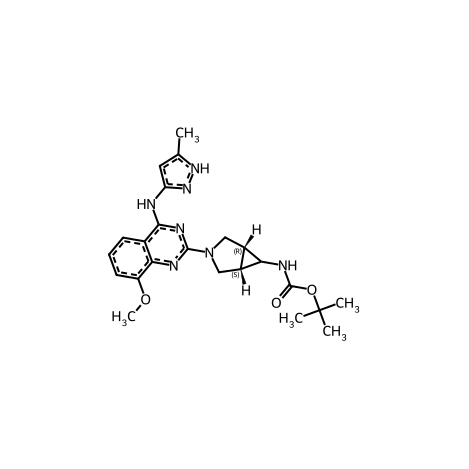 COc1cccc2c(Nc3cc(C)[nH]n3)nc(N3C[C@@H]4C(NC(=O)OC(C)(C)C)[C@@H]4C3)nc12